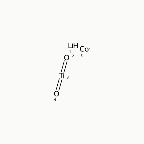 [Co].[LiH].[O]=[Ti]=[O]